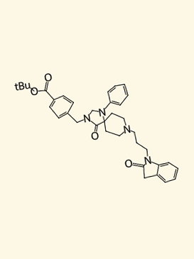 CC(C)(C)OC(=O)c1ccc(CN2CN(c3ccccc3)C3(CCN(CCCN4C(=O)Cc5ccccc54)CC3)C2=O)cc1